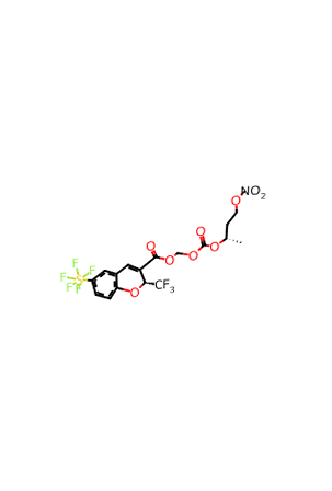 C[C@@H](CCO[N+](=O)[O-])OC(=O)OCOC(=O)C1=Cc2cc(S(F)(F)(F)(F)F)ccc2O[C@@H]1C(F)(F)F